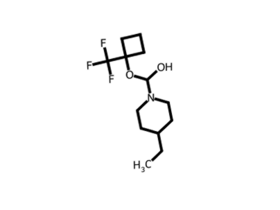 CCC1CCN(C(O)OC2(C(F)(F)F)CCC2)CC1